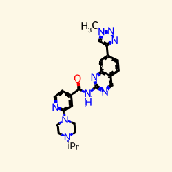 CC(C)N1CCN(c2cc(C(=O)Nc3ncc4ccc(-c5cn(C)nn5)cc4n3)ccn2)CC1